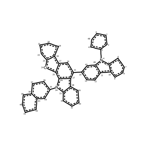 c1ccc(-n2c3ccccc3c3ccc(-c4cc5c6ccccc6oc5c5c4c4ccccc4n5-c4ccc5ccccc5c4)cc32)cc1